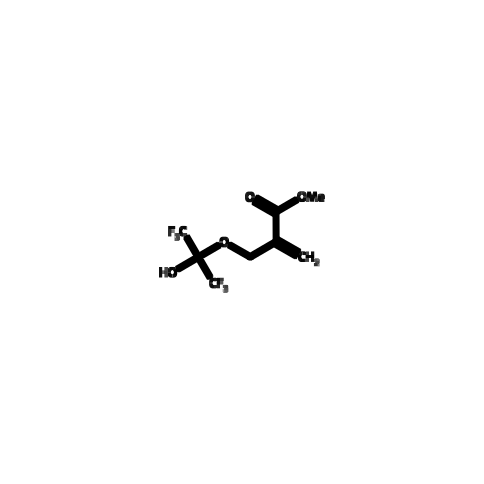 C=C(COC(O)(C(F)(F)F)C(F)(F)F)C(=O)OC